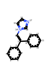 C(=C(c1ccccc1)c1ccccc1)n1ccnc1